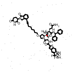 CCCC[C@H](NC(=O)c1cc2cc(C(F)(F)P(=O)(O)O)ccc2s1)C(=O)N1C[C@H](OCCCCCCC#Cc2cccc3c2CN(C2CCC(=O)NC2=O)C3=O)C[C@H]1C(=O)N[C@@H](CCC(N)=O)C(=O)NC(c1ccccc1)c1ccccc1